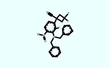 N#CC1(c2ccc([N+](=O)[O-])c(N(Cc3ccccc3)Cc3ccccc3)c2F)CC(F)(F)C1